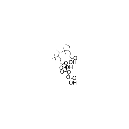 CCC(CCC(=O)O)C(C)(C)C.CCC(CCC(=O)O)C(C)(C)C.O=C(O)OOC(=O)O